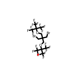 FC(F)(F)C(OCC(CBr)(CBr)COC(C(F)(F)F)(C(F)(F)F)C(F)(F)F)(C(F)(F)F)C(F)(F)F